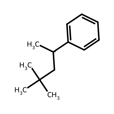 C[C](CC(C)(C)C)c1ccccc1